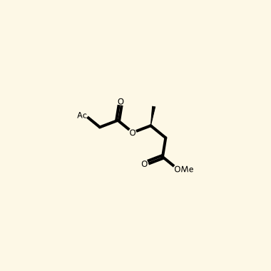 COC(=O)C[C@H](C)OC(=O)CC(C)=O